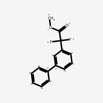 COC(=O)C(F)(F)c1cccc(-c2ccccc2)c1